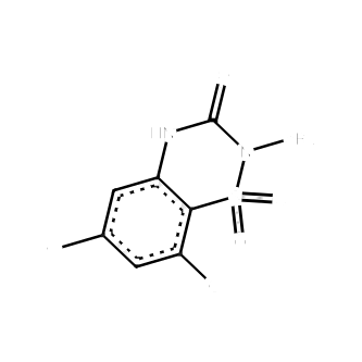 CCCCN1C(=O)Nc2cc(Cl)cc(Cl)c2S1(=O)=O